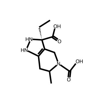 CC[C@@]1(C(=O)O)NNC2=C1CN(C(=O)O)C(C)C2